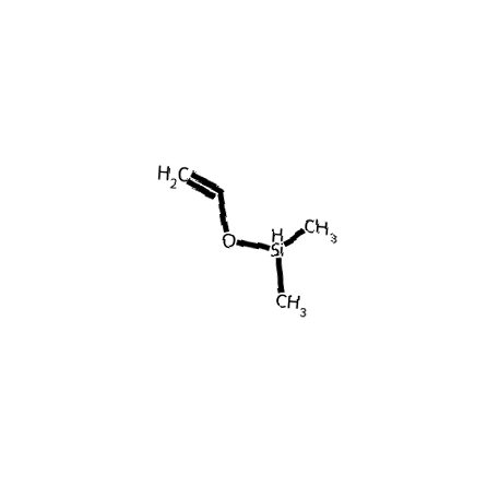 C=CO[SiH](C)C